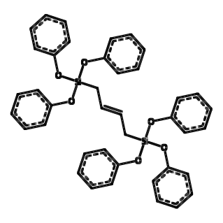 C(=CC[Si](Oc1ccccc1)(Oc1ccccc1)Oc1ccccc1)C[Si](Oc1ccccc1)(Oc1ccccc1)Oc1ccccc1